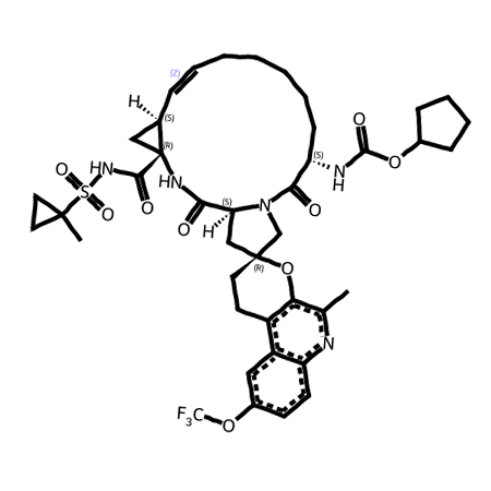 Cc1nc2ccc(OC(F)(F)F)cc2c2c1O[C@]1(CC2)C[C@H]2C(=O)N[C@]3(C(=O)NS(=O)(=O)C4(C)CC4)C[C@H]3/C=C\CCCCC[C@H](NC(=O)OC3CCCC3)C(=O)N2C1